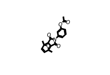 CC(=O)Oc1cccc(N2C(=O)C3C(C2=O)C2(C)C=CC3(C)O2)c1